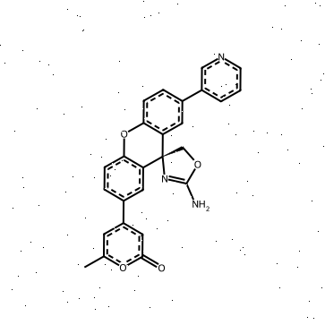 Cc1cc(-c2ccc3c(c2)[C@]2(COC(N)=N2)c2cc(-c4cccnc4)ccc2O3)cc(=O)o1